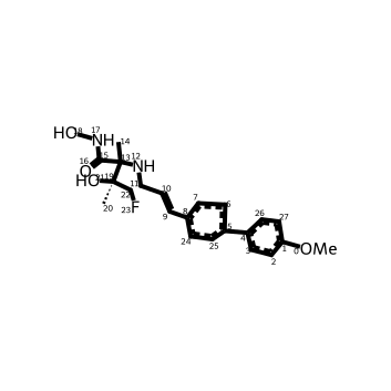 COc1ccc(-c2ccc(/C=C/CNC(C)(C(=O)NO)[C@](C)(O)CF)cc2)cc1